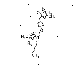 CCCCCCCN(CCOc1ccc(CC(OC(C)C)C(=O)O)cc1)C(=O)OC(C)(C)C